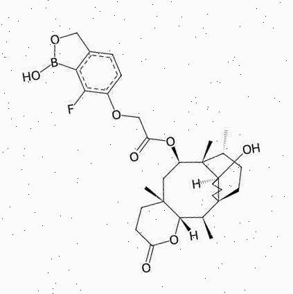 C[C@@H]1CC[C@@]23CCC(O)[C@H]2[C@]1(C)[C@H](OC(=O)COc1ccc2c(c1F)B(O)OC2)C[C@@]1(C)CCC(=O)O[C@H]1[C@@H]3C